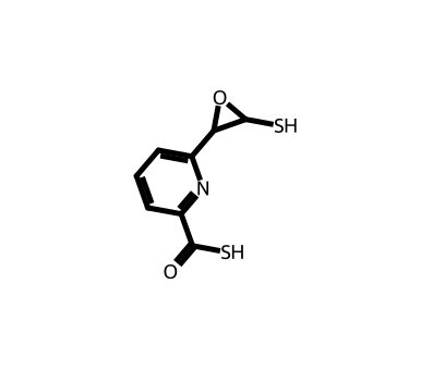 O=C(S)c1cccc(C2OC2S)n1